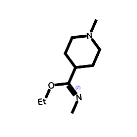 CCO/C(=N\C)C1CCN(C)CC1